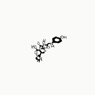 O=C(CNc1ccc(O)cc1)NC1C(=O)N2C(C(=O)O)=C(c3nncs3)CS[C@H]12